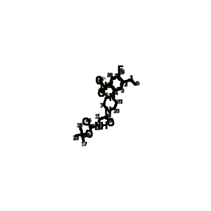 CCc1cc(N2CCN(C(=O)CNC(=O)OC(C)(C)C)CC2)c([N+](=O)[O-])cc1F